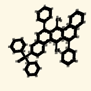 Cc1c2c(-c3cccnc3)nc3cc(P(=O)(c4ccccc4)c4ccccc4)ccc3c2c(C)c2c(-c3cccnc3)nc3ccccc3c12